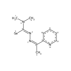 C/C(=N/N=C(\[Se])N(C)C)c1ccccn1